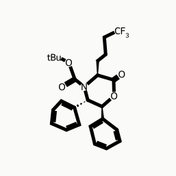 CC(C)(C)OC(=O)N1[C@@H](CCCC(F)(F)F)C(=O)O[C@@H](c2ccccc2)[C@@H]1c1ccccc1